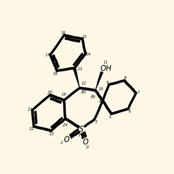 O=S1(=O)CC2(CCCCC2)[C@H](O)[C@H](c2ccccc2)c2ccccc21